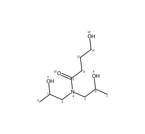 CC(O)CN(CC(C)O)C(=O)CCCO